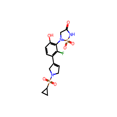 O=C1CN(c2c(O)ccc(C3=CCN(S(=O)(=O)C4CC4)C3)c2F)S(=O)(=O)N1